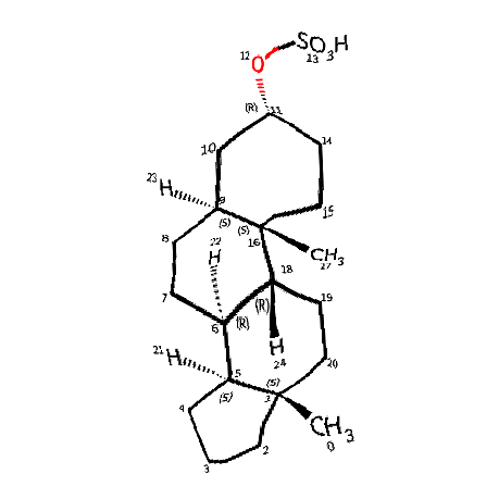 C[C@@]12CCC[C@H]1[C@H]1CC[C@H]3C[C@H](OS(=O)(=O)O)CC[C@]3(C)[C@@H]1CC2